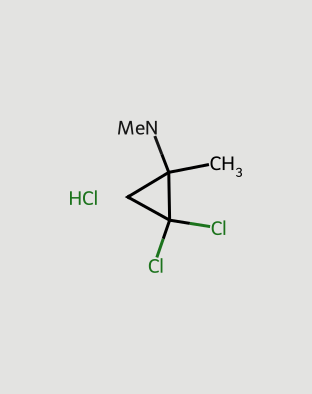 CNC1(C)CC1(Cl)Cl.Cl